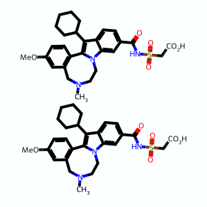 COc1ccc2c(c1)CN(C)CCn1c-2c(C2CCCCC2)c2ccc(C(=O)NS(=O)(=O)CC(=O)O)cc21.COc1ccc2c(c1)CN(C)CCn1c-2c(C2CCCCC2)c2ccc(C(=O)NS(=O)(=O)CC(=O)O)cc21